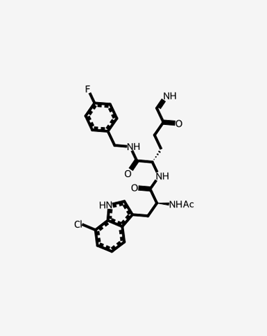 CC(=O)N[C@@H](Cc1c[nH]c2c(Cl)cccc12)C(=O)N[C@@H](CCC(=O)C=N)C(=O)NCc1ccc(F)cc1